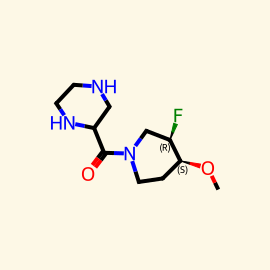 CO[C@H]1CCN(C(=O)C2CNCCN2)C[C@H]1F